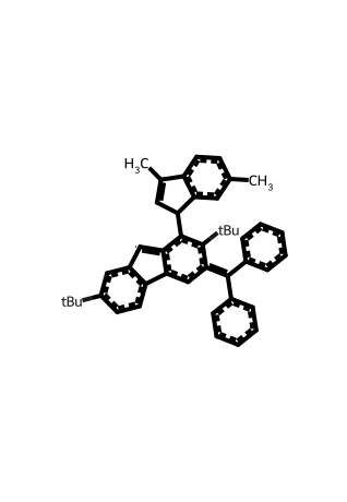 CC1=CC(c2c(C(C)(C)C)c(=C(c3ccccc3)c3ccccc3)cc3c2=[C]c2cc(C(C)(C)C)ccc2-3)c2cc(C)ccc21